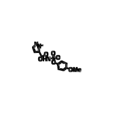 COc1ccc(OS(=O)(=O)NOC(=O)c2ccnn2C)cc1